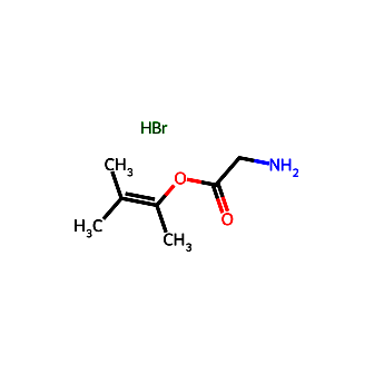 Br.CC(C)=C(C)OC(=O)CN